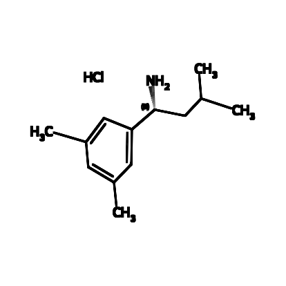 Cc1cc(C)cc([C@H](N)CC(C)C)c1.Cl